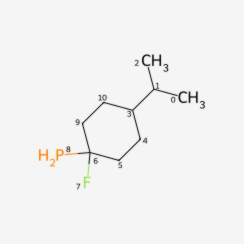 CC(C)C1CCC(F)(P)CC1